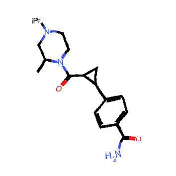 CC(C)N1CCN(C(=O)C2CC2c2ccc(C(N)=O)cc2)C(C)C1